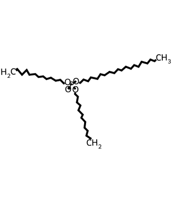 C=CCCCCCCCCCCCOP(=O)(OCCCCCCCCCCCC=C)OCCCCCCCCCCCCCCCCCCCC